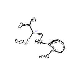 CCOC(=O)/C(=C\Nc1ccccc1OC)C(=O)C(C)C